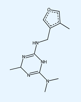 Cc1cocc1CNC1=NC(C)N=C(N(C)C)N1